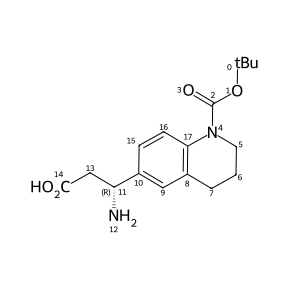 CC(C)(C)OC(=O)N1CCCc2cc([C@H](N)CC(=O)O)ccc21